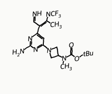 C/C(NC(F)(F)F)=C(/C=N)c1cc(N2CC(N(C)C(=O)OC(C)(C)C)C2)nc(N)n1